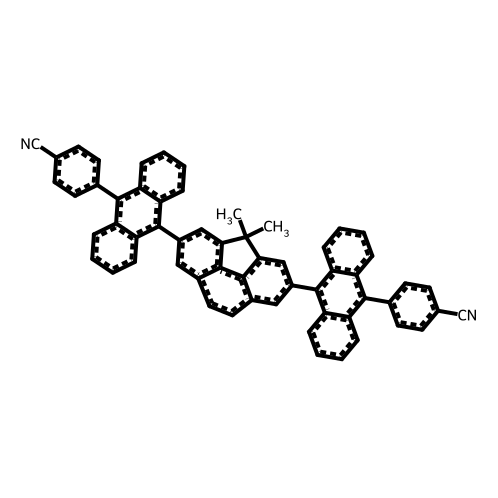 CC1(C)c2cc(-c3c4ccccc4c(-c4ccc(C#N)cc4)c4ccccc34)cc3ccc4cc(-c5c6ccccc6c(-c6ccc(C#N)cc6)c6ccccc56)cc1c4c23